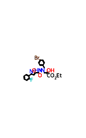 CCOC(=O)[C@H](O)CN(Cc1ccc(Br)cc1)NC(=O)c1cc(-c2ccccc2F)no1